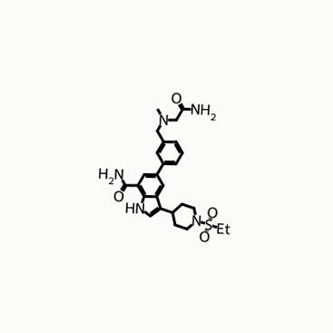 CCS(=O)(=O)N1CCC(c2c[nH]c3c(C(N)=O)cc(-c4cccc(CN(C)CC(N)=O)c4)cc23)CC1